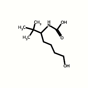 CC(C)(C)C(CCCCO)NC(=O)O